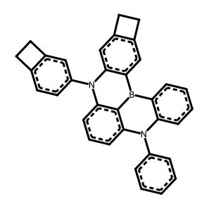 c1ccc(N2c3ccccc3B3c4cc5c(cc4N(c4ccc6c(c4)CC6)c4cccc2c43)CC5)cc1